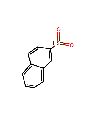 O=[SH](=O)c1ccc2ccccc2c1